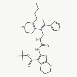 CCCCC1=C(/C(CNC(=O)Nc2sc3c(c2C(=O)OC(C)(C)C)CCCC3)=C(\C)c2ccoc2)CCNC1